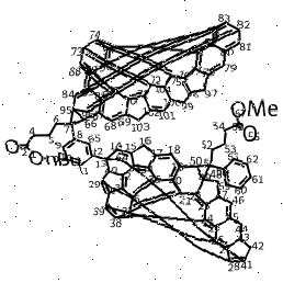 CCCCOC(=O)CCCC1(c2cccc(C34C=C5Cc6cc7c8c9c%10c%11c%12c%13c%14c%15c(c%16c%17c%18c(c5c6c8c%18c9c%12c%14%17)C%163)=C(CC%15CC%13=CC%11CC%103C7C3(CCCC(=O)OC)c3ccccc3)C4)c2)C2c3cc4c5c6c7c8c9c%10c%11c%12c(cc%13cc%14c%15c(c%16c3c5c8c%16c3c%15c%13c%12c93)C21C=%14)CC=%11CC(C=C6C4)C7%10